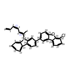 C=C/C=C\C=C(/C)n1c2ccccc2c2ccc(-c3ccc4oc5c(Cl)cccc5c4c3)cc21